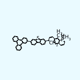 C=C(/C=C\c1ccc2c(c1C)[PH](C)=CC=C2)c1ccc2c(c1)sc1cc(-c3ccc4c5ccccc5c5ccccc5c4c3)ccc12